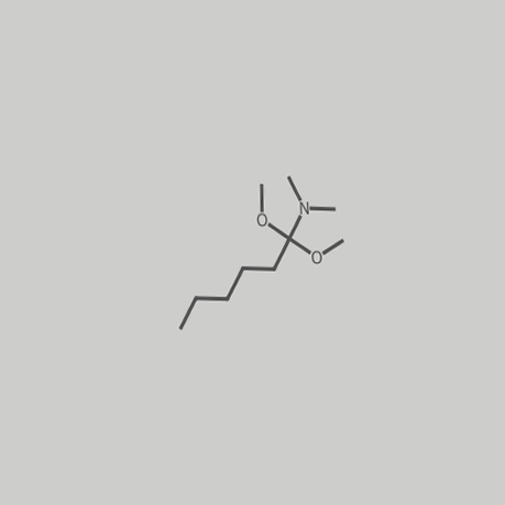 CCCCCC(OC)(OC)N(C)C